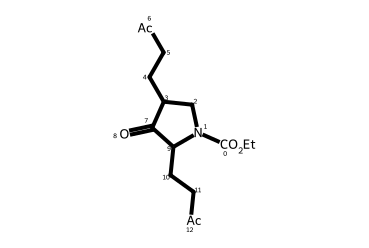 CCOC(=O)N1CC(CCC(C)=O)C(=O)C1CCC(C)=O